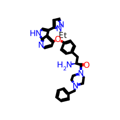 CCn1nccc1-c1c[nH]c2nccc(Oc3ccc(C[C@H](N)C(=O)N4CCN(Cc5ccccc5)CC4)cc3)c12